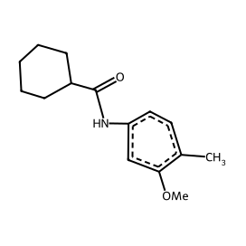 COc1cc(NC(=O)C2CCCCC2)ccc1C